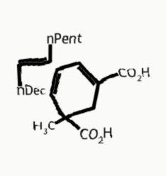 CC1(C(=O)O)C=CC=C(C(=O)O)C1.CCCCCC=CCCCCCCCCCC